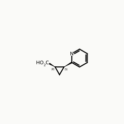 O=C(O)[C@@H]1C[C@@H]1c1ccccn1